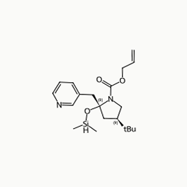 C=CCOC(=O)N1C[C@@H](C(C)(C)C)C[C@]1(Cc1cccnc1)O[SiH](C)C